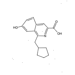 O=C(O)c1cc2ccc(O)cc2c(CC2CCCC2)n1